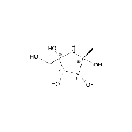 C[C@]1(O)N[C@](O)(CO)[C@@H](O)[C@H]1O